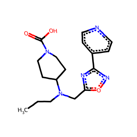 CCCN(Cc1nc(-c2ccncc2)no1)C1CCN(C(=O)O)CC1